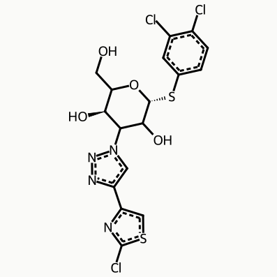 OCC1O[C@H](Sc2ccc(Cl)c(Cl)c2)C(O)C(n2cc(-c3csc(Cl)n3)nn2)[C@H]1O